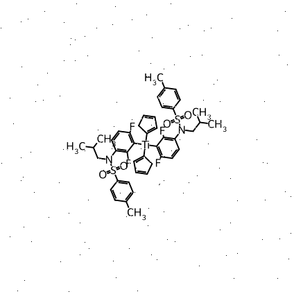 Cc1ccc(S(=O)(=O)N(CC(C)C)c2ccc(F)[c]([Ti]([C]3=CC=CC3)([C]3=CC=CC3)[c]3c(F)ccc(N(CC(C)C)S(=O)(=O)c4ccc(C)cc4)c3F)c2F)cc1